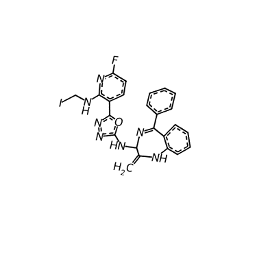 C=C1Nc2ccccc2C(c2ccccc2)=NC1Nc1nnc(-c2ccc(F)nc2NCI)o1